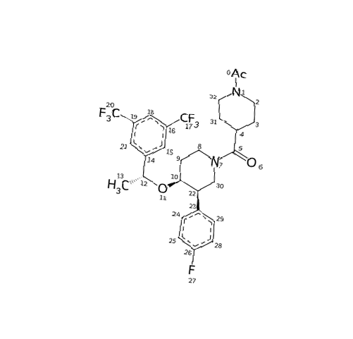 CC(=O)N1CCC(C(=O)N2CC[C@H](O[C@H](C)c3cc(C(F)(F)F)cc(C(F)(F)F)c3)[C@H](c3ccc(F)cc3)C2)CC1